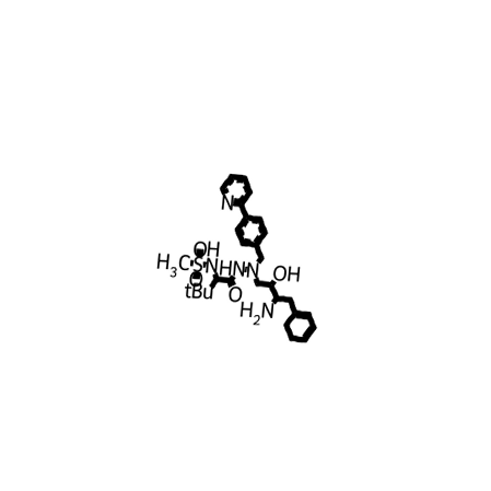 CC(C)(C)C(NS(C)(=O)=O)C(=O)NN(Cc1ccc(-c2ccccn2)cc1)CC(O)C(N)CC1=CC=CCC1